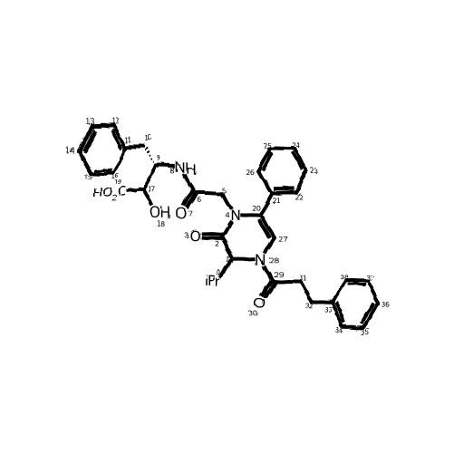 CC(C)C1C(=O)N(CC(=O)N[C@@H](Cc2ccccc2)C(O)C(=O)O)C(c2ccccc2)=CN1C(=O)CCc1ccccc1